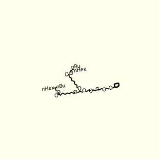 CCCCCCC(CCCC)COC(=O)CCCCCCCOCC(COCCOCCOCCOCCOCc1ccccc1)OCCCCCCCC(=O)OCC(CCCC)CCCCCC